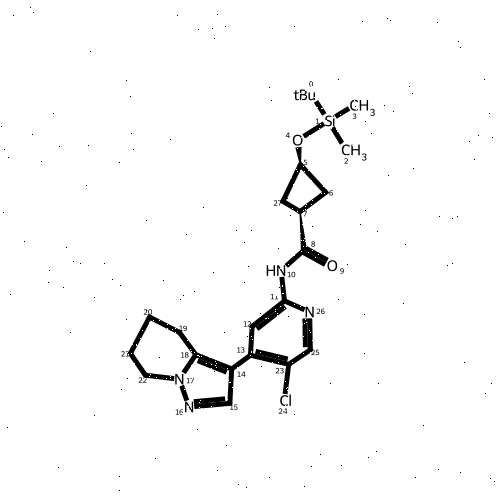 CC(C)(C)[Si](C)(C)O[C@H]1C[C@@H](C(=O)Nc2cc(-c3cnn4c3CCCC4)c(Cl)cn2)C1